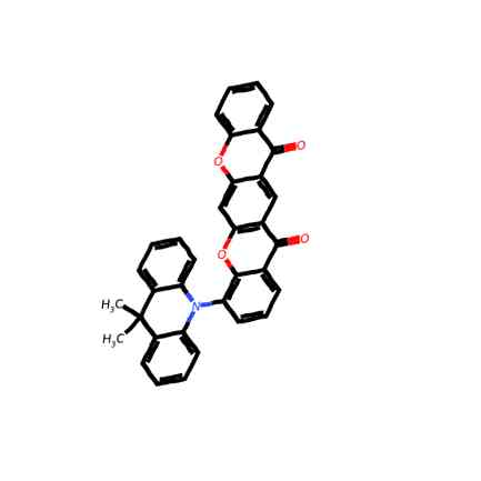 CC1(C)c2ccccc2N(c2cccc3c(=O)c4cc5c(=O)c6ccccc6oc5cc4oc23)c2ccccc21